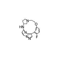 Fc1ccc2cc1-c1cnn3ccc(nc13)NC1CCN(CCO2)C1